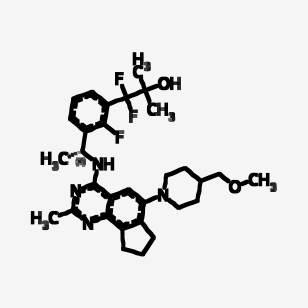 COCC1CCN(c2cc3c(N[C@H](C)c4cccc(C(F)(F)C(C)(C)O)c4F)nc(C)nc3c3c2CCC3)CC1